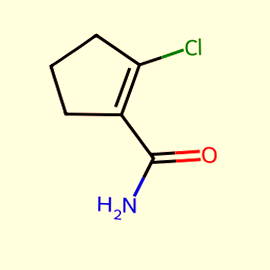 NC(=O)C1=C(Cl)CCC1